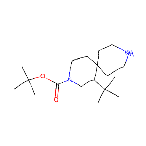 CC(C)(C)OC(=O)N1CCC2(CCNCC2)C(C(C)(C)C)C1